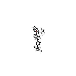 CC(C)(C)C(=O)N1C2CCC1CC(Oc1ncnc3c1ccn3-c1ccc(S(C)(=O)=O)cc1F)C2